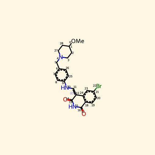 COC1CCN(Cc2ccc(N/C=C3\C(=O)NC(=O)c4ccc(Br)cc43)cc2)CC1